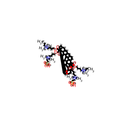 CCC[N+](C)(C)CCCCOC(=O)C1(C(=O)OCCCC[N+](C)(C)CCS(=O)(=O)O)C23CCc4cc5cc6c7c8c9c%10c%11c%12c%13c(cc%14ccc2c2c%15c%16c%17c(c4C%1613)c5c7c9c%17c%11c%15c%13c%142)C=C1CC2CC8(C=C6)C23C(C(=O)OCCCC[N+](C)(C)CCC)(C(=O)OCCCC[N+](C)(C)CCS(=O)(=O)O)C%103C1%12